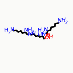 NCCCCCC(N)CNCCCCCC(CO)NC(=O)C(N)CCCCCN